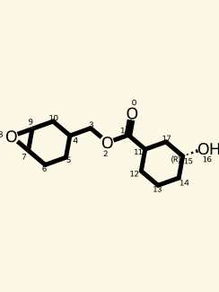 O=C(OCC1CCC2OC2C1)C1CCC[C@@H](O)C1